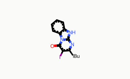 CCC(C)c1nc2[nH]c3ccccc3n2c(=O)c1I